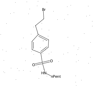 CCCCCNS(=O)(=O)c1ccc(CCBr)cc1